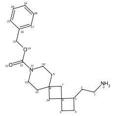 NCCC1CCC12CC1(CCN(C(=O)OCc3ccccc3)CC1)C2